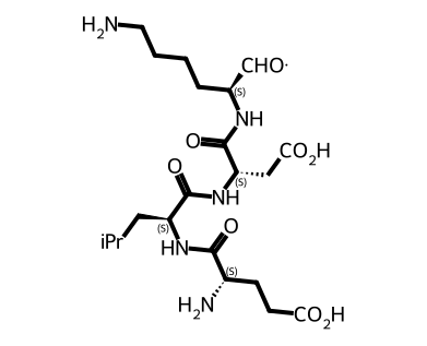 CC(C)C[C@H](NC(=O)[C@@H](N)CCC(=O)O)C(=O)N[C@@H](CC(=O)O)C(=O)N[C@H]([C]=O)CCCCN